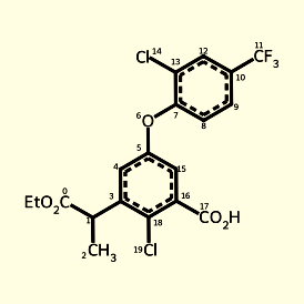 CCOC(=O)C(C)c1cc(Oc2ccc(C(F)(F)F)cc2Cl)cc(C(=O)O)c1Cl